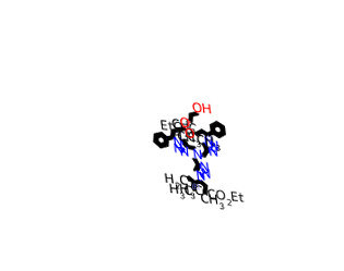 C=C/C(=C\C)C(CC(C)(C)C(=O)OCC)n1cc(CN(Cc2cn(C(CC(C)(C)C(=O)OCC)c3ccccc3)nn2)Cc2cn(C(CC(C)(C)C(=O)OCCCO)c3ccccc3)nn2)nn1